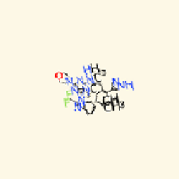 C#C/C=C\C(CC(C)(C)Nc1nc(N2CCOCC2)nc(-n2c(C(F)F)nc3ccccc32)n1)=C(/C)c1cn[nH]c1